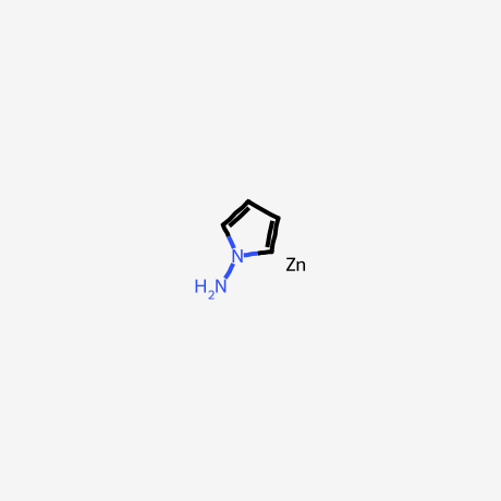 Nn1cccc1.[Zn]